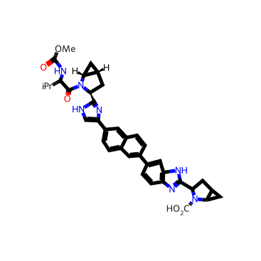 COC(=O)NC(C(=O)N1[C@@H]2C[C@@H]2C[C@H]1c1nc(-c2ccc3cc(-c4ccc5nc(C6CC7CC7N6C(=O)O)[nH]c5c4)ccc3c2)c[nH]1)C(C)C